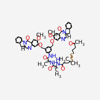 COc1cc2c(cc1OCc1cc(COc3cc4c(cc3OC)C(=O)N3c5ccccc5C[C@H]3C=N4)cc(NC(=O)[C@@H](C)NC(=O)[C@H](C)NC(=O)CCC(C)(C)SSCCCC(C)=O)c1)N=C[C@@H]1Cc3ccccc3N1C2=O